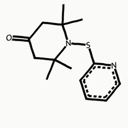 CC1(C)CC(=O)CC(C)(C)N1Sc1ccccn1